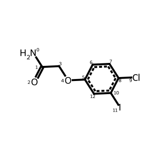 NC(=O)COc1ccc(Cl)c(I)c1